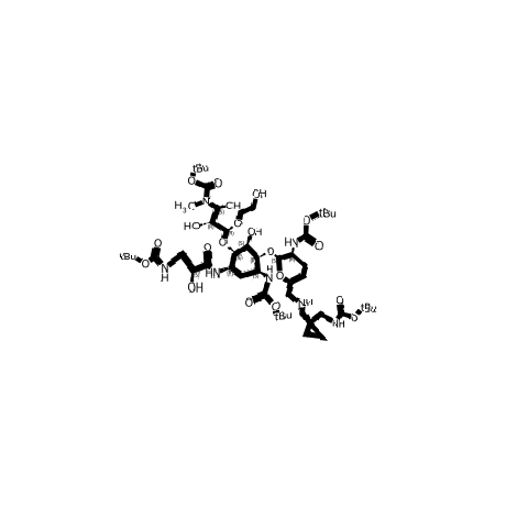 C[C@@H]([C@@H](O)[C@H](OCCO)O[C@@H]1[C@@H](O)[C@H](O[C@H]2OC(CNCC3(CNC(=O)OC(C)(C)C)CC3)=CC[C@H]2NC(=O)OC(C)(C)C)[C@@H](NC(=O)OC(C)(C)C)C[C@H]1NC(=O)[C@@H](O)CNC(=O)OC(C)(C)C)N(C)C(=O)OC(C)(C)C